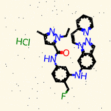 CCn1nc(C)cc1C(=O)Nc1ccc(CF)c(Nc2ccc3cnn(C=Cc4ccccn4)c3c2)c1.Cl